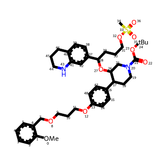 COc1ccccc1COCCCOc1ccc(C2CCN(C(=O)OC(C)(C)C)CC2OC(CCCOS(C)(=O)=O)c2ccc3c(c2)NCCC3)cc1